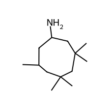 CC1CC(N)CC(C)(C)CC(C)(C)C1